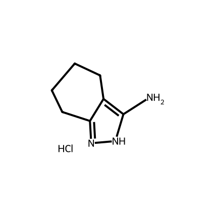 Cl.Nc1[nH]nc2c1CCCC2